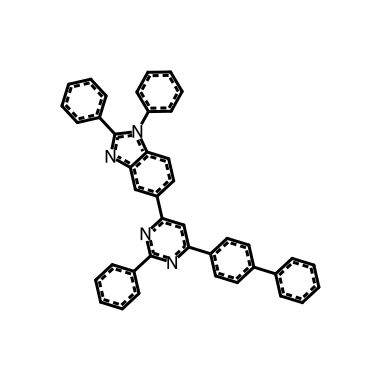 c1ccc(-c2ccc(-c3cc(-c4ccc5c(c4)nc(-c4ccccc4)n5-c4ccccc4)nc(-c4ccccc4)n3)cc2)cc1